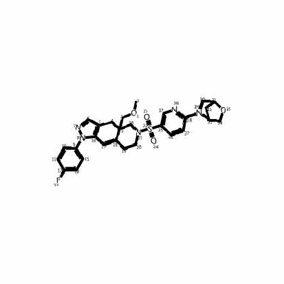 COCC12Cc3cnn(-c4ccc(F)cc4)c3C=C1CCN(S(=O)(=O)c1ccc(N3CC4CC3CO4)nc1)C2